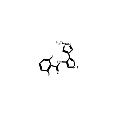 Cn1cc(-c2n[nH]cc2NC(=O)c2c(F)cccc2F)cn1